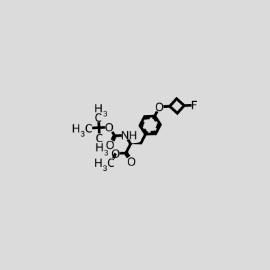 COC(=O)[C@H](Cc1ccc(OC2CC(F)C2)cc1)NC(=O)OC(C)(C)C